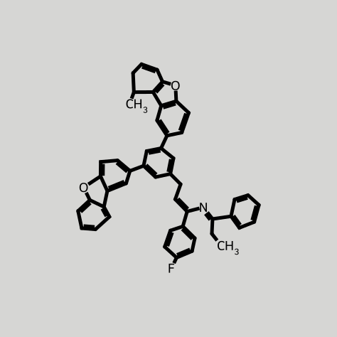 CC/C(=N\C(=C/Cc1cc(-c2ccc3oc4c(c3c2)C(C)CC=C4)cc(-c2ccc3oc4ccccc4c3c2)c1)c1ccc(F)cc1)c1ccccc1